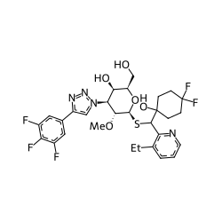 CCc1cccnc1C(S[C@@H]1O[C@H](CO)[C@H](O)[C@H](n2cc(-c3cc(F)c(F)c(F)c3)nn2)[C@H]1OC)C1(O)CCC(F)(F)CC1